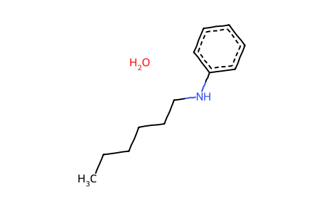 CCCCCCNc1ccccc1.O